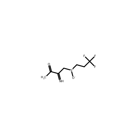 CC(=O)C(=N)C[S+]([O-])CCC(F)(F)F